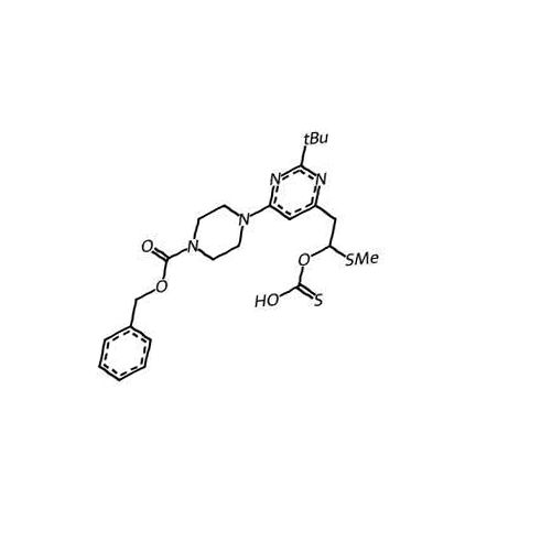 CSC(Cc1cc(N2CCN(C(=O)OCc3ccccc3)CC2)nc(C(C)(C)C)n1)OC(O)=S